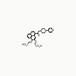 O=C(O)COC1=Cc2c(C(=O)CN3CCN(c4ccncc4)CC3)ccc3cccc(c23)C1OCC(=O)O